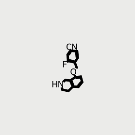 N#Cc1ccc(COc2cccc3c2CNCC3)c(F)c1